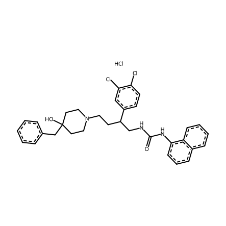 Cl.O=C(NCC(CCN1CCC(O)(Cc2ccccc2)CC1)c1ccc(Cl)c(Cl)c1)Nc1cccc2ccccc12